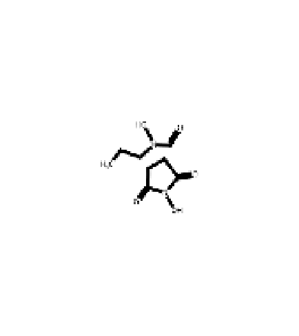 CCCN(O)C=O.O=C1CCC(=O)N1O